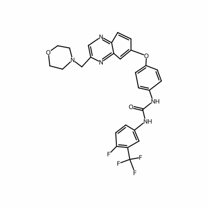 O=C(Nc1ccc(Oc2ccc3ncc(CN4CCOCC4)nc3c2)cc1)Nc1ccc(F)c(C(F)(F)F)c1